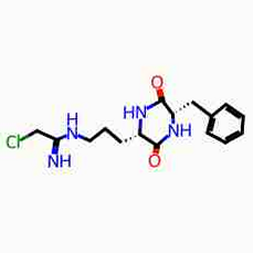 N=C(CCl)NCCC[C@@H]1NC(=O)[C@H](Cc2ccccc2)NC1=O